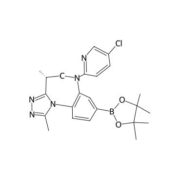 Cc1nnc2n1-c1ccc(B3OC(C)(C)C(C)(C)O3)cc1N(c1ccc(Cl)cn1)C[C@H]2C